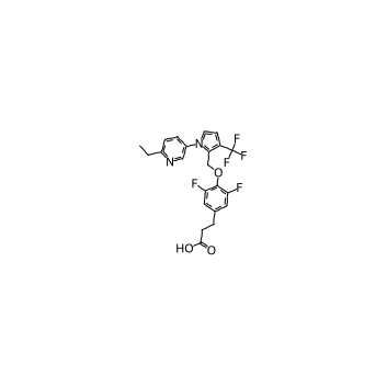 CCc1ccc(-n2ccc(C(F)(F)F)c2COc2c(F)cc(CCC(=O)O)cc2F)cn1